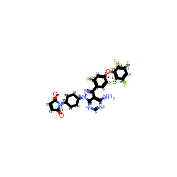 Nc1ncnc2c1c(-c1ccc(Oc3c(F)c(F)cc(F)c3F)cc1F)nn2C1CCC(N2C(=O)C=CC2=O)CC1